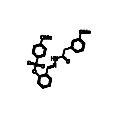 COc1ccc(S(=O)(=O)Oc2ccccc2/C=N/NC(=O)Cc2cccc(OC)c2)cc1